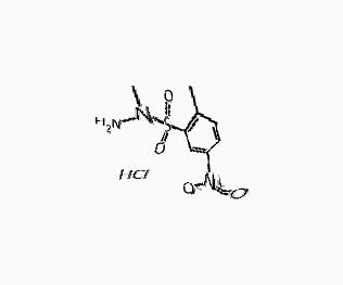 Cc1ccc([N+](=O)[O-])cc1S(=O)(=O)N(C)N.Cl